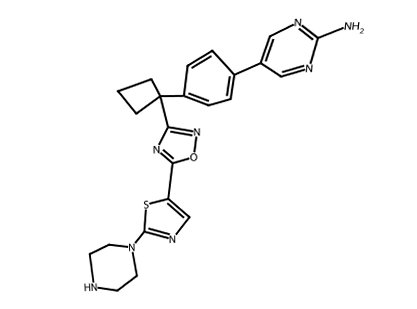 Nc1ncc(-c2ccc(C3(c4noc(-c5cnc(N6CCNCC6)s5)n4)CCC3)cc2)cn1